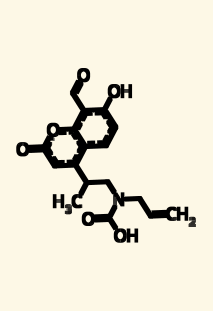 C=CCN(CC(C)c1cc(=O)oc2c(C=O)c(O)ccc12)C(=O)O